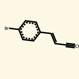 C#CC=Cc1ccc(Br)cc1